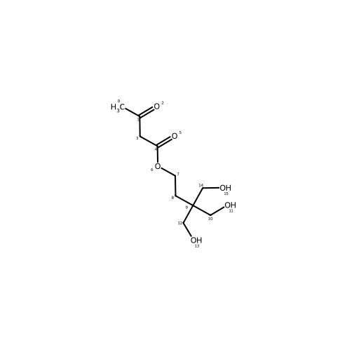 CC(=O)CC(=O)OCCC(CO)(CO)CO